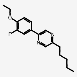 CCCCCc1cnc(-c2ccc(OCC)c(F)c2)cn1